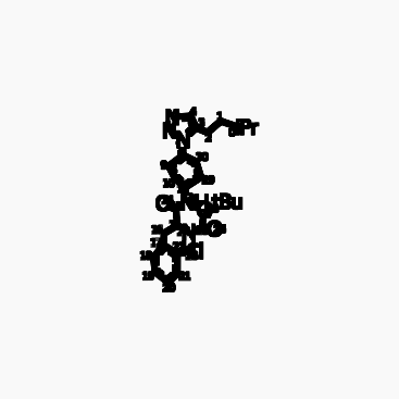 CC(C)CCc1cnnn1-c1ccc(NC(=O)C(Cc2ccccc2Cl)NC(=O)OC(C)(C)C)cc1